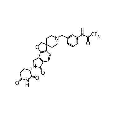 O=C1CC[C@H](N2Cc3c(ccc4c3OCC43CCN(Cc4cccc(NC(=O)C(F)(F)F)c4)CC3)C2=O)C(=O)N1